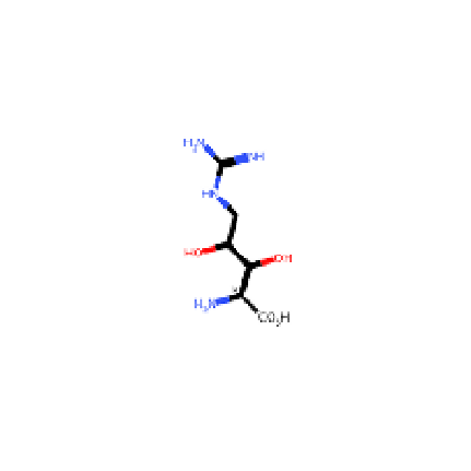 N=C(N)NCC(O)C(O)[C@H](N)C(=O)O